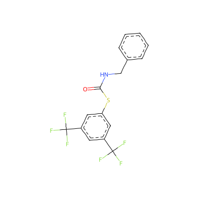 O=C(NCc1ccccc1)Sc1cc(C(F)(F)F)cc(C(F)(F)F)c1